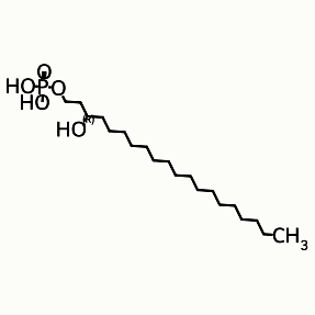 CCCCCCCCCCCCCCCCC[C@@H](O)CCOP(=O)(O)O